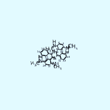 CNc1ccc(NC)c(-c2nc(-c3ccccc3)c(-c3cc(NC)ccc3NC)nc2-c2ccccc2)c1